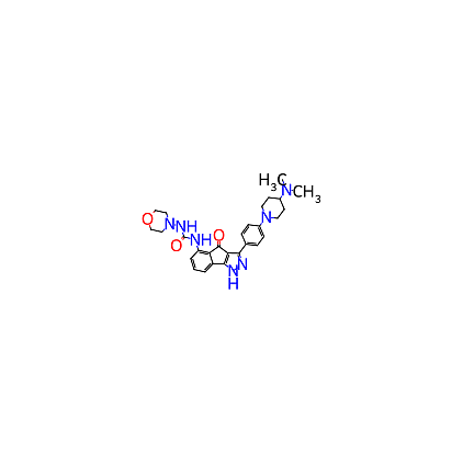 CN(C)C1CCN(c2ccc(-c3n[nH]c4c3C(=O)c3c(NC(=O)NN5CCOCC5)cccc3-4)cc2)CC1